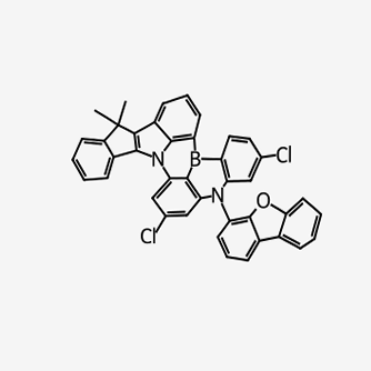 CC1(C)c2ccccc2-c2c1c1cccc3c1n2-c1cc(Cl)cc2c1B3c1ccc(Cl)cc1N2c1cccc2c1oc1ccccc12